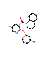 O=C(c1cc(F)cnc1Oc1cccc(Cl)c1)N1CCCc2ccccc21